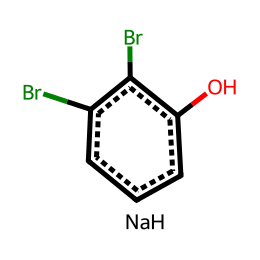 Oc1cccc(Br)c1Br.[NaH]